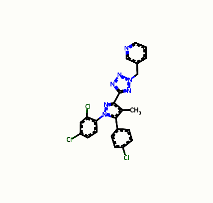 Cc1c(-c2nnn(Cc3cccnc3)n2)nn(-c2ccc(Cl)cc2Cl)c1-c1ccc(Cl)cc1